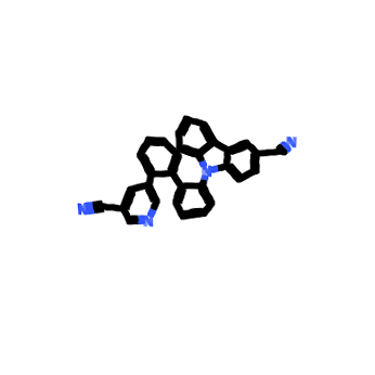 N#Cc1cncc(-c2ccccc2-c2ccccc2-n2c3ccccc3c3cc(C#N)ccc32)c1